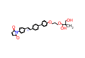 C=C(CO)C(O)OCCCOc1ccc(-c2ccc(/C=C/c3ccc(N4C(=O)C=CC4=O)cc3)cc2)cc1